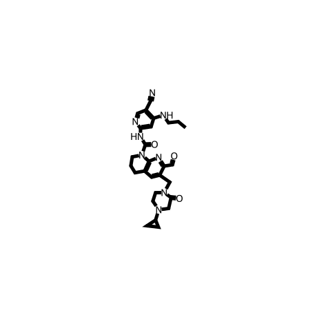 CCCNc1cc(NC(=O)N2CCCc3cc(CN4CCN(C5CC5)CC4=O)c(C=O)nc32)ncc1C#N